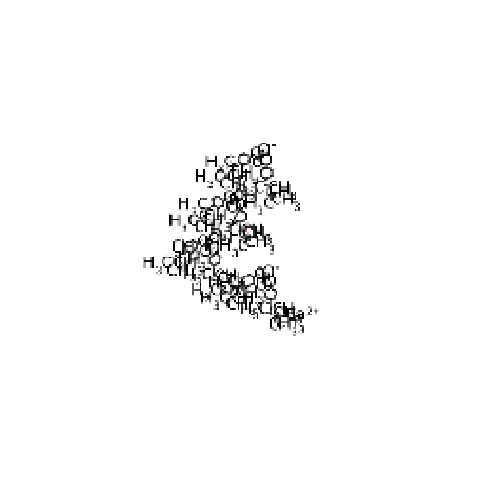 CC(C)(C)CC(C)(C)c1ccc(OP(=O)(O)Oc2ccc(C(C)(C)CC(C)(C)C)cc2)cc1.CC(C)(C)CC(C)(C)c1ccc(OP(=O)(O)Oc2ccc(C(C)(C)CC(C)(C)C)cc2)cc1.CC(C)(C)CC(C)(C)c1ccc(OP(=O)([O-])Oc2ccc(C(C)(C)CC(C)(C)C)cc2)cc1.CC(C)(C)CC(C)(C)c1ccc(OP(=O)([O-])Oc2ccc(C(C)(C)CC(C)(C)C)cc2)cc1.[Ca+2]